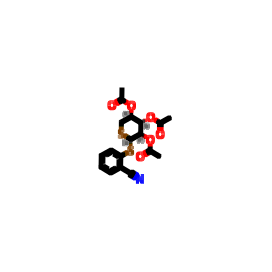 CC(=O)O[C@@H]1[C@@H](OC(C)=O)[C@H](Sc2ccccc2C#N)SC[C@H]1OC(C)=O